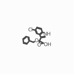 OC1OC1(OCc1ccccc1)c1c[nH]c2ccc(Cl)cc12